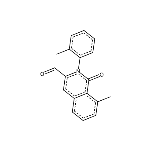 Cc1ccccc1-n1c(C=O)cc2cccc(C)c2c1=O